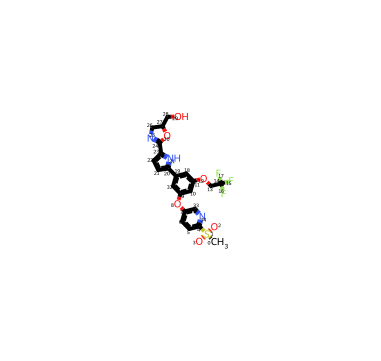 CS(=O)(=O)c1ccc(Oc2cc(OCC(F)(F)F)cc(-c3ccc(C4=NCC(CO)O4)[nH]3)c2)cn1